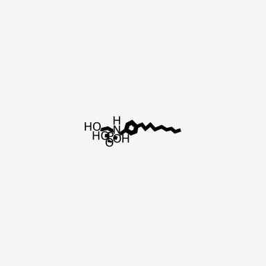 CCCCCCCCCc1ccc(CNC(CCO)P(=O)(O)O)cc1